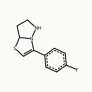 Fc1ccc(C2=CSC3CCNN23)cc1